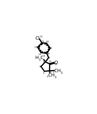 CC1(C)CCC(C)(Cc2ccc(Cl)cc2)C1=O